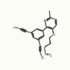 Cc1ccc(OCCCN)c(-c2cc(C#CCl)cc(C#CCl)c2)n1